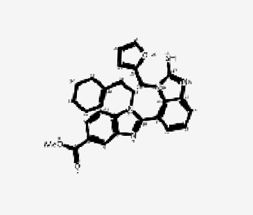 COC(=O)c1ccc2c(c1)nc(-c1cccc3nc(S)n(Cc4ccco4)c13)n2CCC1=CCCCC1